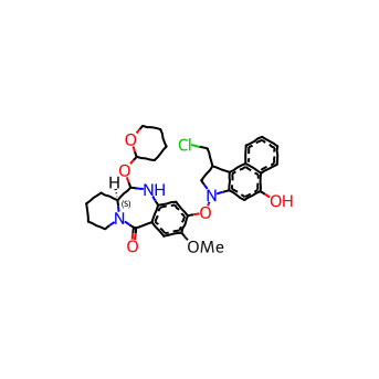 COc1cc2c(cc1ON1CC(CCl)c3c1cc(O)c1ccccc31)NC(OC1CCCCO1)[C@@H]1CCCCN1C2=O